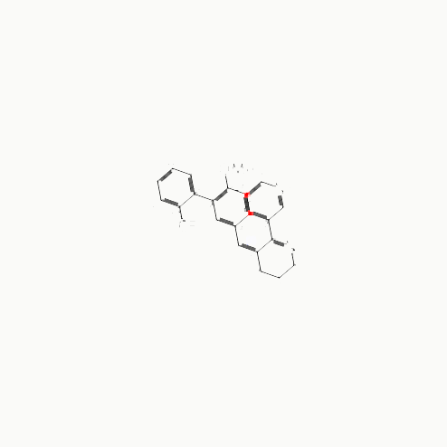 COc1ccc(/C=C2/CCCN=C2c2cccnc2)cc1-c1ccccc1C(F)(F)F